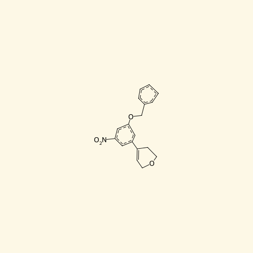 O=[N+]([O-])c1cc(OCc2ccccc2)cc(C2=CCOCC2)c1